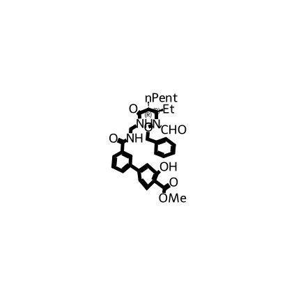 CCCCC[C@@H](C(=O)NCNC(=O)c1cccc(-c2ccc(C(=O)OC)c(O)c2)c1)[C@@H](CC)N(C=O)OCc1ccccc1